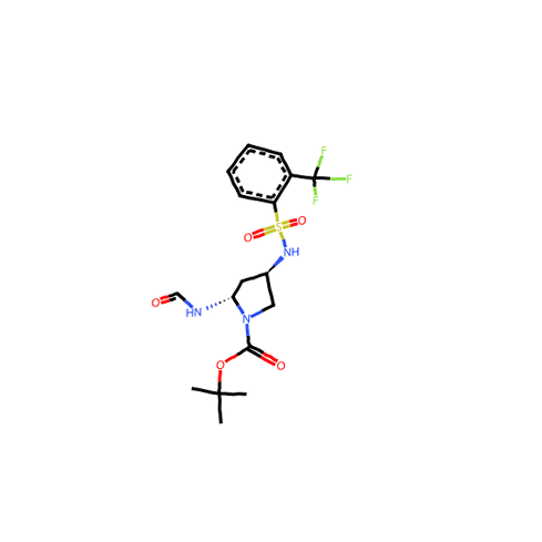 CC(C)(C)OC(=O)N1C[C@H](NS(=O)(=O)c2ccccc2C(F)(F)F)C[C@H]1NC=O